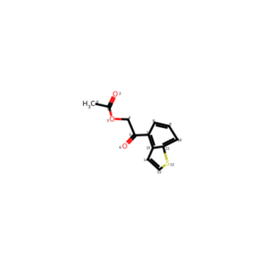 CC(=O)OCC(=O)c1cccc2sccc12